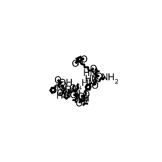 CC[C@H](C)[C@@H]([C@@H](CC(=O)N1CCC[C@H]1[C@H](OC)[C@@H](C)C(=O)N[C@@H](Cc1ccccc1)C(=O)O)OC)N(C)C(=O)[C@@H](NC(=O)[C@H](C(C)C)N(C)C(=O)OCc1ccc(NC(=O)[C@H](CCCN)NC(=O)[C@@H](NC(=O)CCCCCN2C(=O)C=CC2=O)C(C)C)cc1)C(C)C